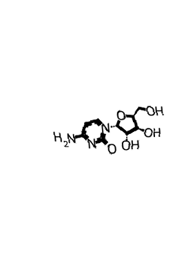 Nc1ccn([C@@H]2O[C@@H](CO)[C@@H](O)[C@@H]2O)c(=O)n1